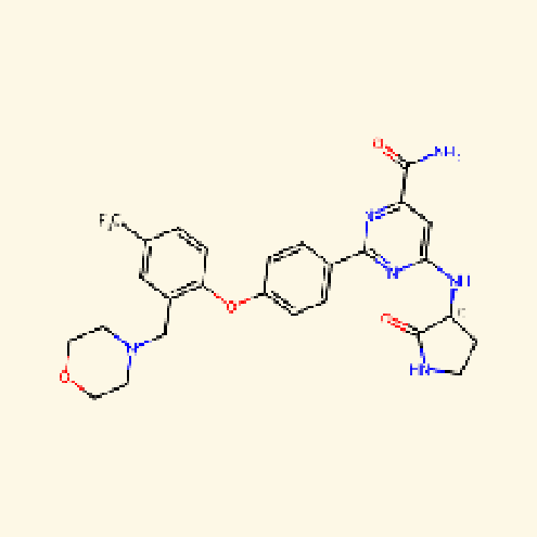 NC(=O)c1cc(N[C@H]2CCNC2=O)nc(-c2ccc(Oc3ccc(C(F)(F)F)cc3CN3CCOCC3)cc2)n1